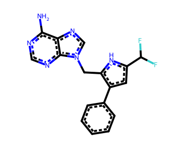 Nc1ncnc2c1ncn2Cc1[nH]c(C(F)F)cc1-c1ccccc1